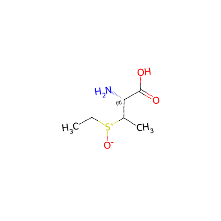 CC[S+]([O-])C(C)[C@H](N)C(=O)O